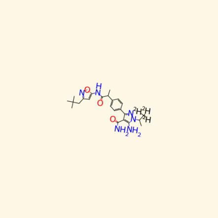 [2H]C([2H])([2H])C(C)n1nc(-c2ccc(C(C)C(=O)Nc3cc(CC(C)(C)C)no3)cc2)c(C(N)=O)c1N